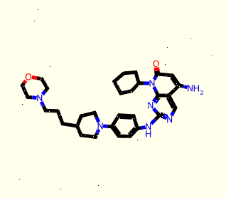 Nc1cc(=O)n(C2CCCCC2)c2nc(Nc3ccc(N4CCC(CCCN5CCOCC5)CC4)cc3)ncc12